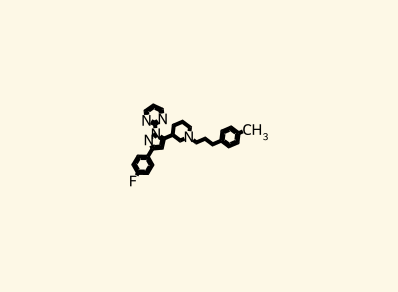 Cc1ccc(CCCN2CCCC(c3cc(-c4ccc(F)cc4)nn3-c3ncccn3)C2)cc1